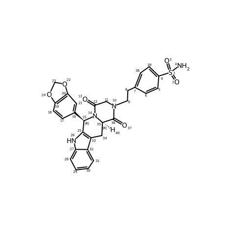 NS(=O)(=O)c1ccc(CCN2CC(=O)N3[C@H](c4ccc5c(c4)OCO5)c4[nH]c5ccccc5c4C[C@@H]3C2=O)cc1